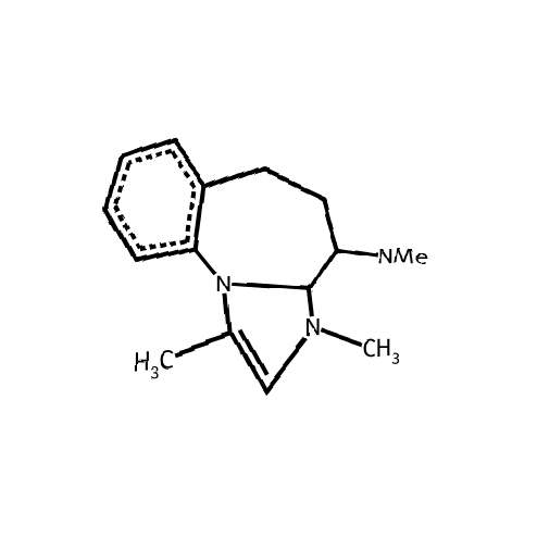 CNC1CCc2ccccc2N2C(C)=CN(C)C12